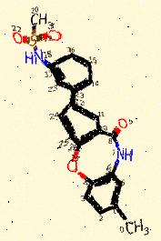 Cc1ccc2c(c1)NC(=O)c1cc(-c3cccc(NS(C)(=O)=O)c3)ccc1O2